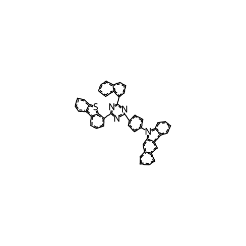 c1ccc2cc3c(cc2c1)c1ccccc1n3-c1ccc(-c2nc(-c3cccc4ccccc34)nc(-c3cccc4c3sc3ccccc34)n2)cc1